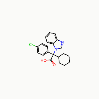 O=C(O)C(c1ccc(Cl)cc1)(C1CCCCC1)n1cnc2ccccc21